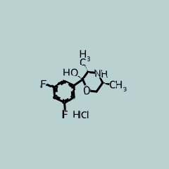 C[C@@H]1N[C@@H](C)CO[C@@]1(O)c1cc(F)cc(F)c1.Cl